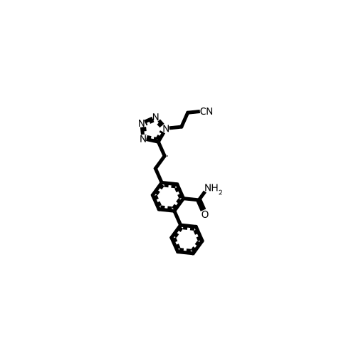 N#CCCn1nnnc1[CH]Cc1ccc(-c2ccccc2)c(C(N)=O)c1